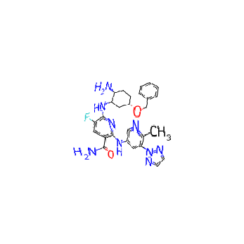 Cc1ncc(Nc2nc(N[C@@H]3C[C@@H](OCc4ccccc4)CC[C@@H]3N)c(F)cc2C(N)=O)cc1-n1nccn1